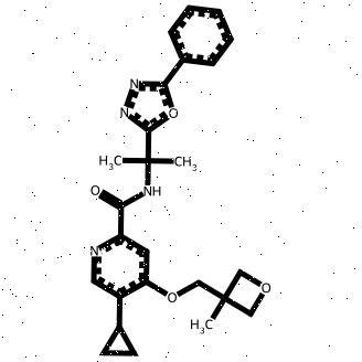 CC1(COc2cc(C(=O)NC(C)(C)c3nnc(-c4ccccc4)o3)ncc2C2CC2)COC1